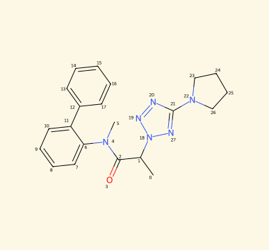 CC(C(=O)N(C)c1ccccc1-c1ccccc1)n1nnc(N2CCCC2)n1